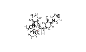 Cn1c(CN2C3CCC2CC(CNc2ccc(N4CCOCC4)c(F)c2)C3)nc2ccccc21